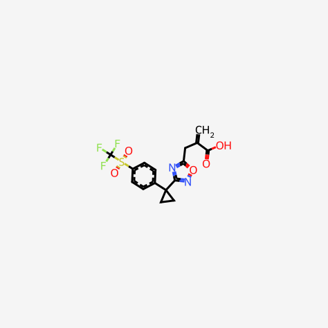 C=C(Cc1nc(C2(c3ccc(S(=O)(=O)C(F)(F)F)cc3)CC2)no1)C(=O)O